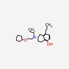 CCCc1ccc(O)c2c1C[C@@H](N(CCC)CCOC1CCCCC1)CC2